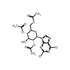 CC(=O)OCC1O[C@@H](n2cnc3c(Cl)nc(Cl)nc32)[C@H](OC(C)=O)[C@@H](O)[C@@H]1OC(C)=O